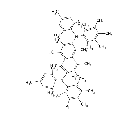 Cc1cc(C)c(N(c2c(C)c(C)c(C)c(C)c2C)c2c(C)c(C)c3c(C)c(N(c4c(C)cc(C)cc4C)c4c(C)c(C)c(C)c(C)c4C)c(C)c(C)c3c2C)c(C)c1